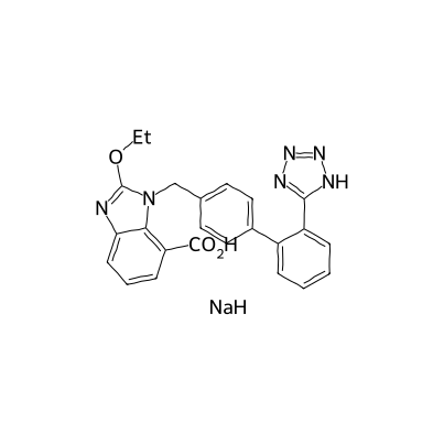 CCOc1nc2cccc(C(=O)O)c2n1Cc1ccc(-c2ccccc2-c2nnn[nH]2)cc1.[NaH]